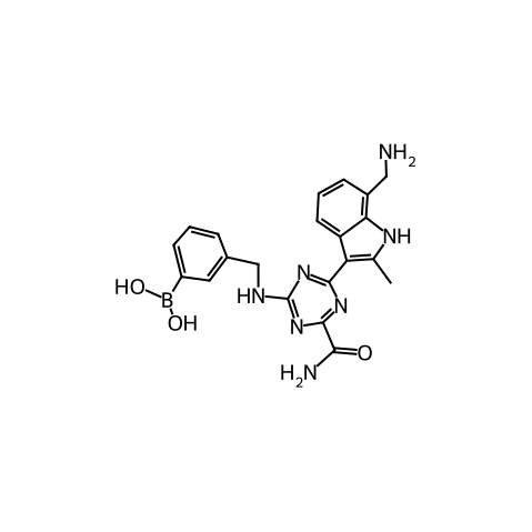 Cc1[nH]c2c(CN)cccc2c1-c1nc(NCc2cccc(B(O)O)c2)nc(C(N)=O)n1